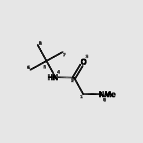 CNCC(=O)NC(C)(C)C